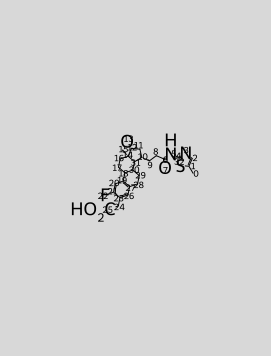 Cc1cnc(NC(=O)CC[C@@H]2CC(=O)[C@@]3(C)CCC4c5cc(F)c(CC(=O)O)cc5CCC4C23)s1